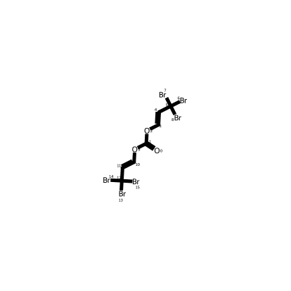 O=C(OC=CC(Br)(Br)Br)OC=CC(Br)(Br)Br